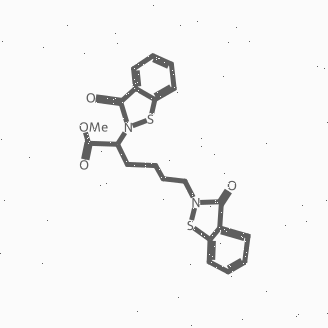 COC(=O)C(CCCCn1sc2ccccc2c1=O)n1sc2ccccc2c1=O